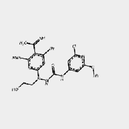 CCCOc1cc(NC(=O)NN(CCO)c2cc(C(C)C)c(C(C)=N)c(NC)n2)cc(Cl)n1